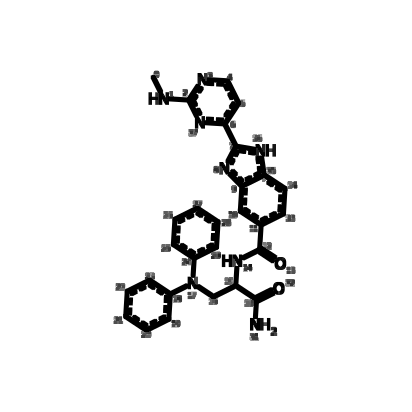 CNc1nccc(-c2nc3cc(C(=O)NC(CN(c4ccccc4)c4ccccc4)C(N)=O)ccc3[nH]2)n1